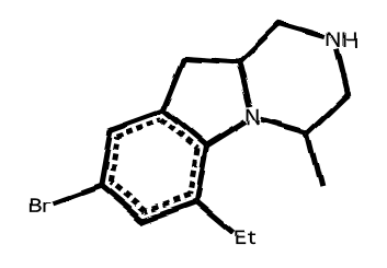 CCc1cc(Br)cc2c1N1C(C)CNCC1C2